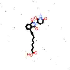 O=C(O)CCCCCCC#Cc1cccc2c1C(=O)N(C1CCC(=O)NC1=O)C2=O